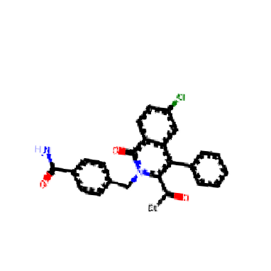 CCC(=O)c1c(-c2ccccc2)c2cc(Cl)ccc2c(=O)n1Cc1ccc(C(N)=O)cc1